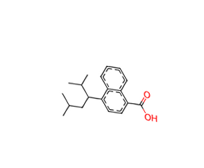 CC(C)CC(c1ccc(C(=O)O)c2ccccc12)C(C)C